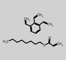 C=CC(=O)OCCCCCCCC.C=Cc1cccc(C=C)c1C=C